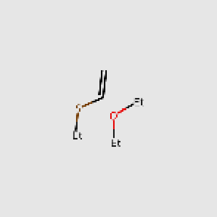 C=CSCC.CCOCC